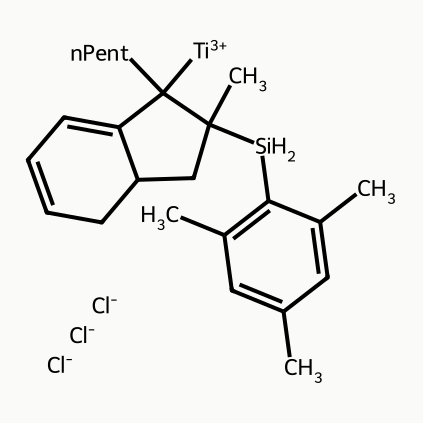 CCCCC[C]1([Ti+3])C2=CC=CCC2CC1(C)[SiH2]c1c(C)cc(C)cc1C.[Cl-].[Cl-].[Cl-]